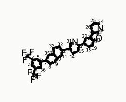 FC(F)(F)c1cc(-c2ccc3cc(-c4ccc(-c5ccc6oc7ncccc7c6c5)nc4)ccc3c2)cc(C(F)(F)F)c1